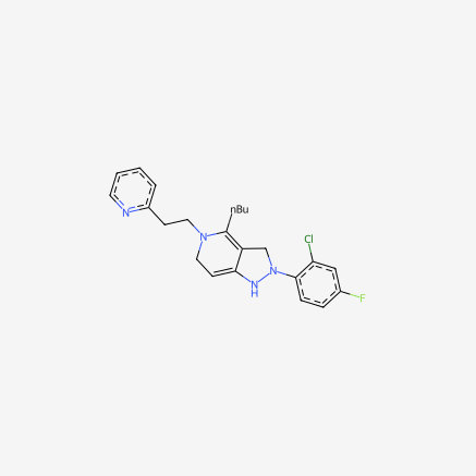 CCCCC1=C2CN(c3ccc(F)cc3Cl)NC2=CCN1CCc1ccccn1